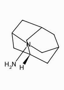 NN1CC2CC3CC1C[C@H](C3)C2